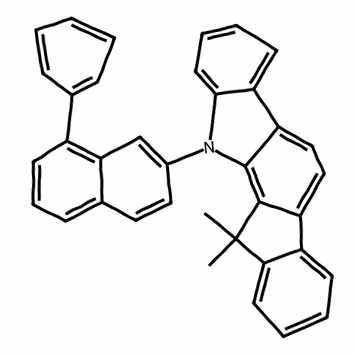 CC1(C)c2ccccc2-c2ccc3c4ccccc4n(-c4ccc5cccc(-c6ccccc6)c5c4)c3c21